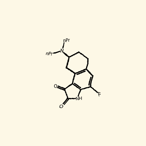 CCCN(CCC)C1CCc2cc(F)c3c(c2C1)C(=O)C(=O)N3